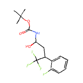 CC(C)(C)OC(=O)NC(O)CC(c1ccccc1F)C(F)(F)F